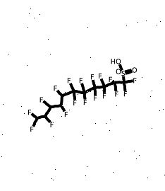 O=S(=O)(O)C(F)(F)C(F)(F)C(F)(F)C(F)(F)C(F)(F)C(F)(F)C(F)C(F)C(F)C(F)C(F)F